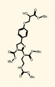 CC(C)(C)OC(=O)NCCN(C(=O)OC(C)(C)C)C1=NC(c2ccc(OCC(O)C(=O)OC(C)(C)C)cc2)CN1C(=O)OC(C)(C)C